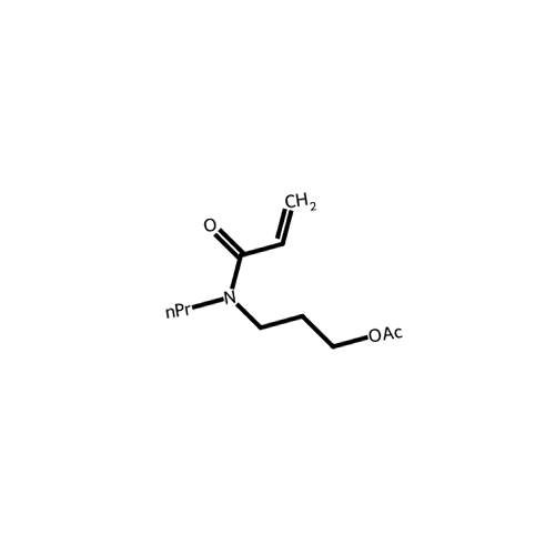 C=CC(=O)N(CCC)CCCOC(C)=O